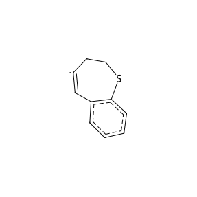 [C]1=Cc2ccccc2SCC1